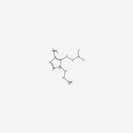 CC(C)CCc1c(N)cnn1CCO